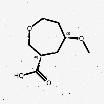 CO[C@@H]1CCOC[C@H](C(=O)O)C1